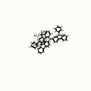 CC1(C)c2ccccc2-c2ccc(N(c3ccc4c5ccccc5n(-c5ccccc5)c4c3)c3cccc4c3-c3ccc(-c5ccccc5)cc3C4(C)C)cc21